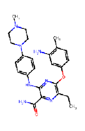 CCc1nc(C(N)=O)c(Nc2ccc(N3CCN(C)CC3)cc2)nc1Oc1ccc(C)c(N)c1